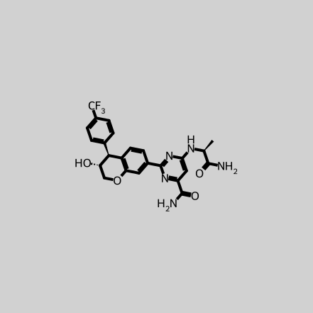 C[C@H](Nc1cc(C(N)=O)nc(-c2ccc3c(c2)OC[C@H](O)[C@H]3c2ccc(C(F)(F)F)cc2)n1)C(N)=O